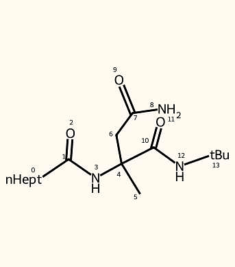 CCCCCCCC(=O)NC(C)(CC(N)=O)C(=O)NC(C)(C)C